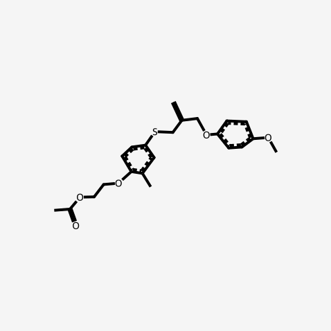 C=C(COc1ccc(OC)cc1)CSc1ccc(OCCOC(C)=O)c(C)c1